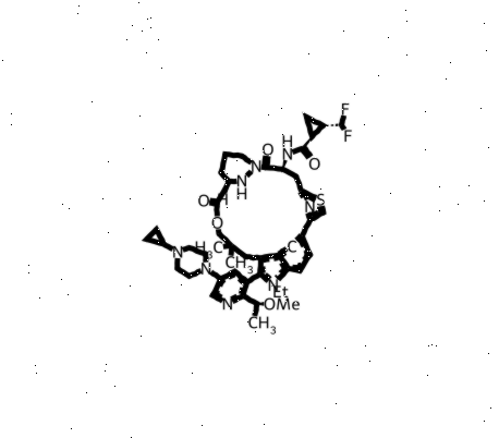 CCn1c(-c2cc(N3CCN(C4CC4)CC3)cnc2[C@H](C)OC)c2c3cc(ccc31)-c1csc(n1)C[C@H](NC(=O)[C@H]1C[C@@H]1C(F)F)C(=O)N1CCC[C@H](N1)C(=O)OCC(C)(C)C2